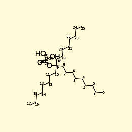 CCCCCCCCCC(CCCCCCCC)(CCCCCCCC)OP(=O)(O)O